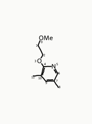 COCCOc1ncc(C)cc1C